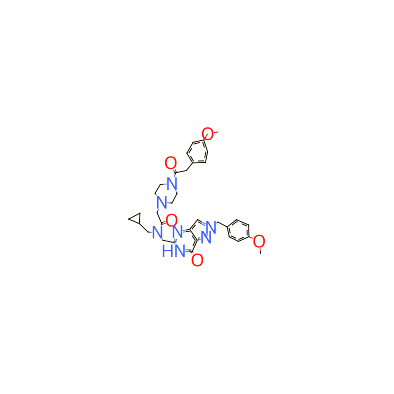 COc1ccc(CC(=O)N2CCN(CC(=O)N(Cc3nc4cn(Cc5ccc(OC)cc5)nc4c(=O)[nH]3)CC3CC3)CC2)cc1